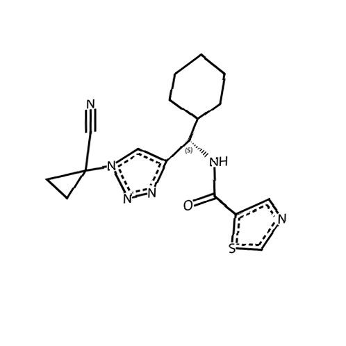 N#CC1(n2cc([C@@H](NC(=O)c3cncs3)C3CCCCC3)nn2)CC1